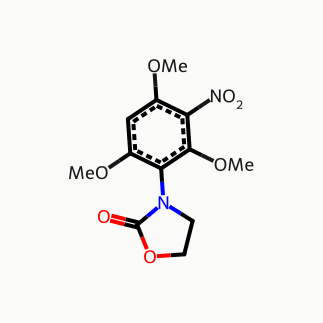 COc1cc(OC)c([N+](=O)[O-])c(OC)c1N1CCOC1=O